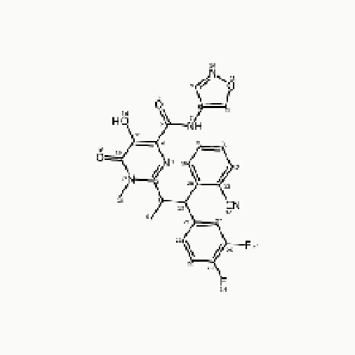 CC(c1nc(C(=O)Nc2cnoc2)c(O)c(=O)n1C)C(c1ccc(F)c(F)c1)c1ccccc1C#N